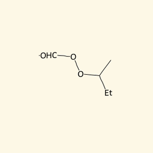 CCC(C)OO[C]=O